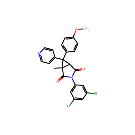 CC12C(=O)N(c3cc(Cl)cc(Cl)c3)C(=O)C1C2(c1ccncc1)c1ccc(OC(F)(F)F)cc1